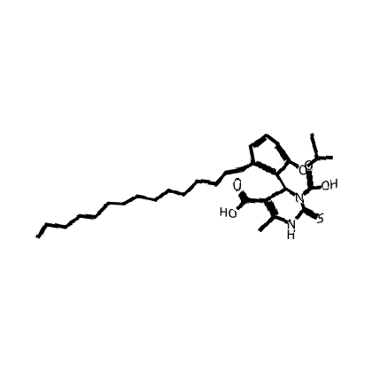 CCCCCCCCCCCCCCCc1cccc(OC(C)C)c1C1C(C(=O)O)=C(C)NC(=S)N1C(=O)O